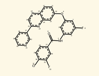 O=C(Nc1cc(F)cc(Oc2ccc3ncc(-c4cccnc4)nc3c2)c1)c1ccc(Cl)c(F)c1